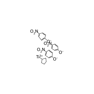 O=[N+]([O-])c1ccc([O-])cc1.O=[N+]([O-])c1ccc([O-])cc1.O=[N+]([O-])c1ccc([O-])cc1.[Ti+3][CH]1CCCC1